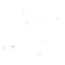 CCCCC(NC(C)=O)C1C[C@H](N)CC1C(=O)O